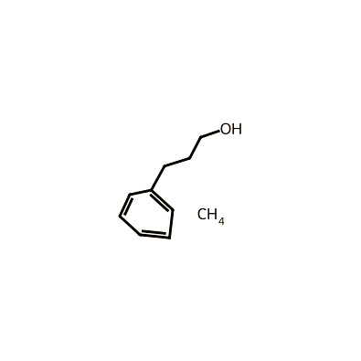 C.OCCCc1ccccc1